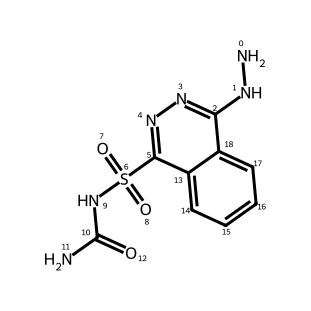 NNc1nnc(S(=O)(=O)NC(N)=O)c2ccccc12